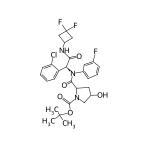 CC(C)(C)OC(=O)N1CC(O)CC1C(=O)N(c1cccc(F)c1)[C@H](C(=O)NC1CC(F)(F)C1)c1ccccc1Cl